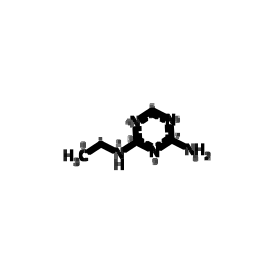 CCNc1ncnc(N)n1